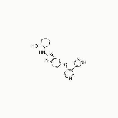 O[C@@H]1CCCCC1Nc1nc2ccc(Oc3ccncc3-c3cn[nH]c3)cc2s1